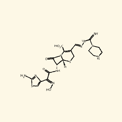 N=C(NN=CC1=C(C(=O)O)N2C(=O)[C@@H](NC(=O)C(=NO)c3csc(N)n3)[C@H]2SC1)N1CCNCC1